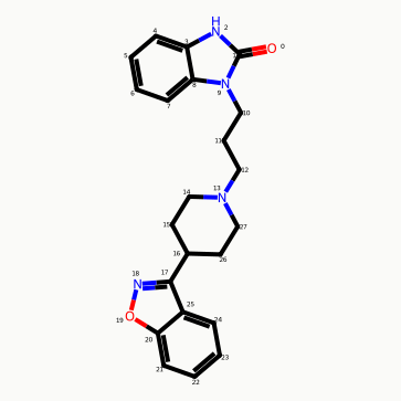 O=c1[nH]c2ccccc2n1CCCN1CCC(c2noc3ccccc23)CC1